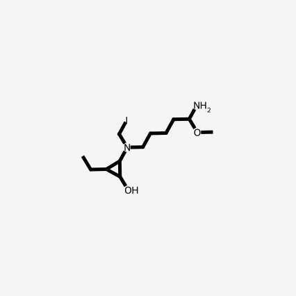 CCC1C(O)C1N(CI)CCCCC(N)OC